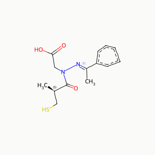 C/C(=N\N(CC(=O)O)C(=O)[C@H](C)CS)c1ccccc1